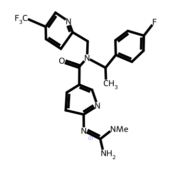 CN/C(N)=N\c1ccc(C(=O)N(Cc2ccc(C(F)(F)F)cn2)C(C)c2ccc(F)cc2)cn1